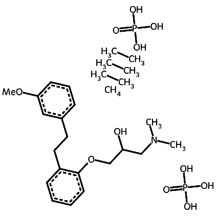 C.CC.CC.CC.COc1cccc(CCc2ccccc2OCC(O)CN(C)C)c1.O=P(O)(O)O.O=P(O)(O)O